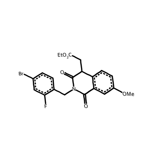 CCOC(=O)CC1C(=O)N(Cc2ccc(Br)cc2F)C(=O)c2cc(OC)ccc21